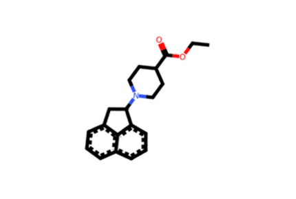 CCOC(=O)C1CCN([C]2Cc3cccc4cccc2c34)CC1